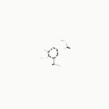 CC(C)Oc1c(O)cccc1C(N)=O.CNC(=O)O